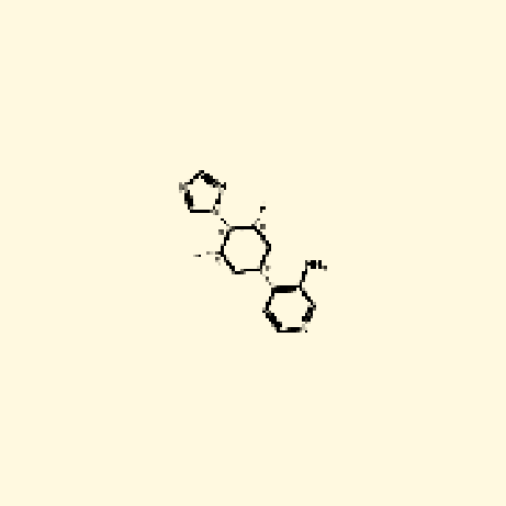 C[C@@H]1C[C@H](c2ccncc2N)C[C@H](C)[C@@H]1n1cncn1